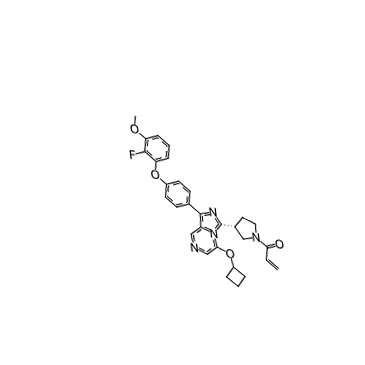 C=CC(=O)N1CC[C@@H](c2nc(-c3ccc(Oc4cccc(OC)c4F)cc3)c3cncc(OC4CCC4)n23)C1